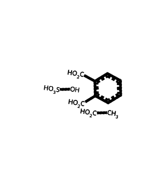 CC(=O)O.O=C(O)c1ccccc1C(=O)O.O=S(=O)(O)O